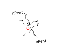 C=CC[Si](CC=C)(CC=CCCCCC)O[Si](CC=C)(CC=C)CC=CCCCCC